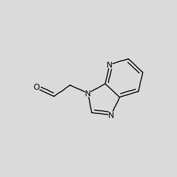 O=CCn1cnc2cccnc21